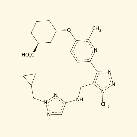 Cc1nc(-c2nnn(C)c2CNc2cnn(CC3CC3)n2)ccc1O[C@H]1CCC[C@H](C(=O)O)C1